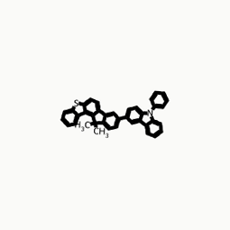 CC1(C)c2ccc(-c3ccc4c(c3)c3ccccc3n4-c3ccccc3)cc2-c2ccc3sc4ccccc4c3c21